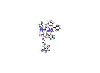 C[C@@H](CNC(=O)CCCCCN1C(=O)C=CC1=O)NC(=O)N(C[C@@H]1CNC[C@@H]1F)[C@@H](c1nc(-c2cc(F)ccc2F)cn1Cc1ccccc1)C1CCOCC1